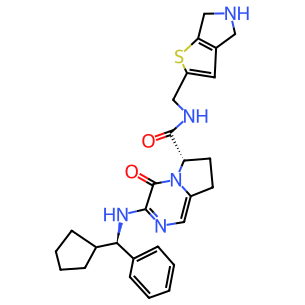 O=C(NCc1cc2c(s1)CNC2)[C@@H]1CCc2cnc(N[C@@H](c3ccccc3)C3CCCC3)c(=O)n21